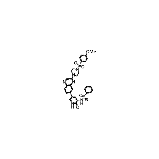 COc1ccc(S(=O)(=O)N2CCN(c3cnc4ccc(-c5c[nH]c(=O)c(NS(=O)(=O)c6ccccc6)c5)cc4n3)CC2)cc1